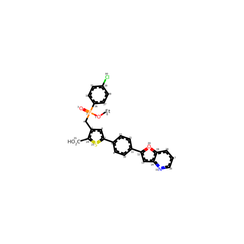 CCOP(=O)(Cc1cc(-c2ccc(-c3cc4ncccc4o3)cc2)sc1C(=O)O)c1ccc(Cl)cc1